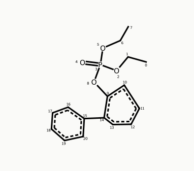 CCOP(=O)(OCC)Oc1ccccc1-c1ccccc1